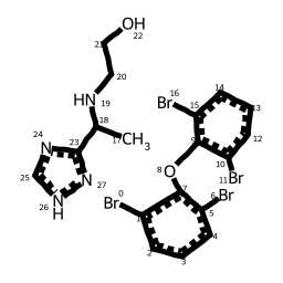 Brc1cccc(Br)c1Oc1c(Br)cccc1Br.CC(NCCO)c1nc[nH]n1